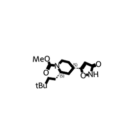 COC(=O)N1CC[C@H](c2cc(=O)[nH]o2)C[C@@H]1CCC(C)(C)C